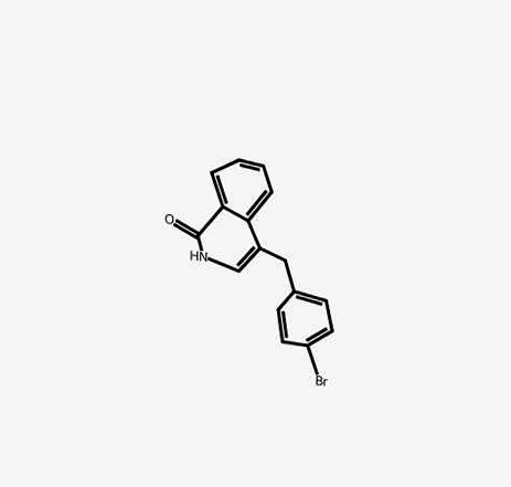 O=c1[nH]cc(Cc2ccc(Br)cc2)c2ccccc12